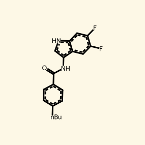 CCCCc1ccc(C(=O)Nc2c[nH]c3cc(F)c(F)cc23)cc1